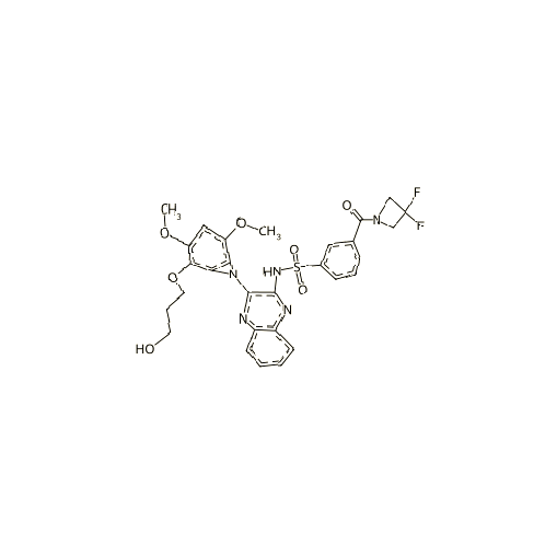 COc1cc(OC)c2c(c1OCCCO)N2c1nc2ccccc2nc1NS(=O)(=O)c1cccc(C(=O)N2CC(F)(F)C2)c1